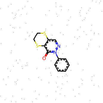 O=c1c2c(cnn1-c1ccccc1)SCCS2